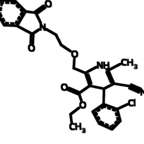 CCOC(=O)C1=C(COCCN2C(=O)c3ccccc3C2=O)NC(C)=C(C#N)C1c1ccccc1Cl